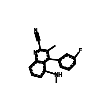 CNc1cccc2nc(C#N)c(C)c(-c3cccc(F)c3)c12